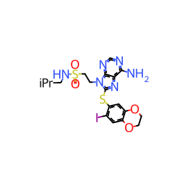 CC(C)CNS(=O)(=O)CCn1c(Sc2cc3c(cc2I)OCCO3)nc2c(N)ncnc21